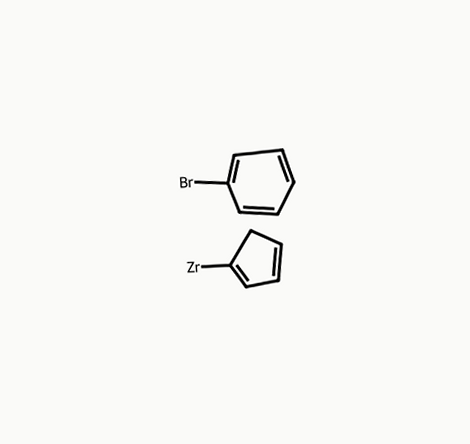 Brc1ccccc1.[Zr][C]1=CC=CC1